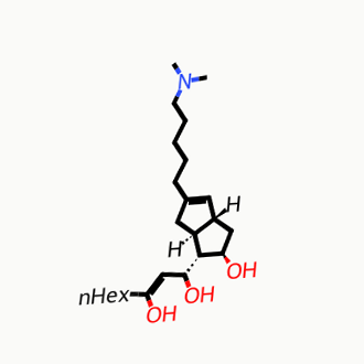 CCCCCCC(O)=CC(O)[C@@H]1[C@H]2CC(CCCCCN(C)C)=C[C@@H]2C[C@H]1O